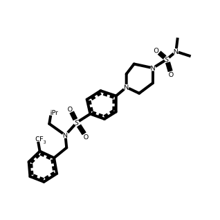 CC(C)CN(Cc1ccccc1C(F)(F)F)S(=O)(=O)c1ccc(N2CCN(S(=O)(=O)N(C)C)CC2)cc1